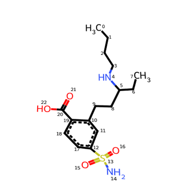 CCCCNC(CC)CCc1cc(S(N)(=O)=O)ccc1C(=O)O